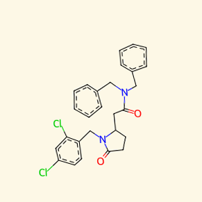 O=C(CC1CCC(=O)N1Cc1ccc(Cl)cc1Cl)N(Cc1ccccc1)Cc1ccccc1